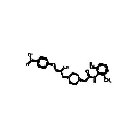 Cc1cccc(C)c1NC(=O)CN1CCN(CC(O)COc2ccc([N+](=O)[O-])cc2)CC1